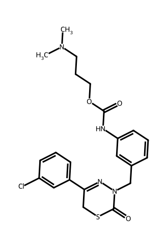 CN(C)CCCOC(=O)Nc1cccc(CN2N=C(c3cccc(Cl)c3)CSC2=O)c1